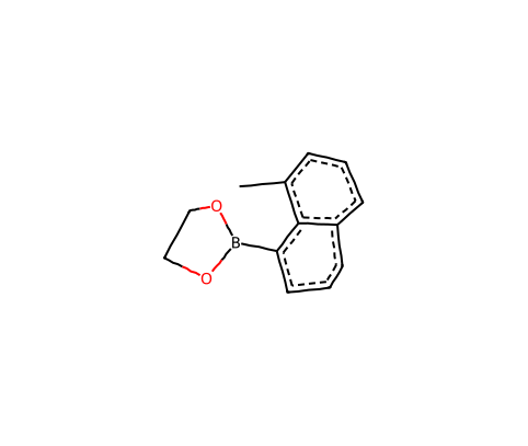 Cc1cccc2cccc(B3OCCO3)c12